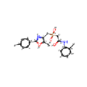 Cc1ccc(-c2nc(CS(=O)(=O)CC(=O)Nc3ccccc3C)c(C)o2)cc1